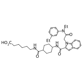 CCc1cccc(N(CC)C(=O)Cn2c(C(=O)NC3CCC(C(=O)NCCCCCC(=O)O)CC3)cc3ccccc32)c1